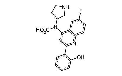 O=C(O)N(c1nc(-c2ccccc2O)nc2ccc(F)cc12)C1CCNC1